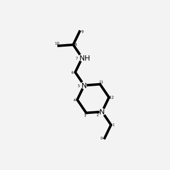 CCN1CCN(CNC(C)C)CC1